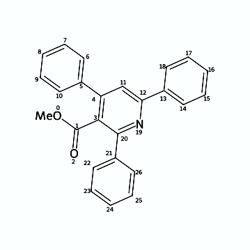 COC(=O)c1c(-c2ccccc2)cc(-c2ccccc2)nc1-c1ccccc1